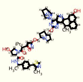 Cc1ncsc1-c1ccc([C@H](C)NC(=O)[C@@H]2C[C@@H](O)CN2C(=O)[C@H](c2cc(OC[C@@H]3CC[C@@]4(COc5nc(N6CC7CCC(C6)N7)c6cnc7c(c6n5)C(C)c5cccc6cc(O)cc-7c56)CCCN34)no2)C(C)C)cc1